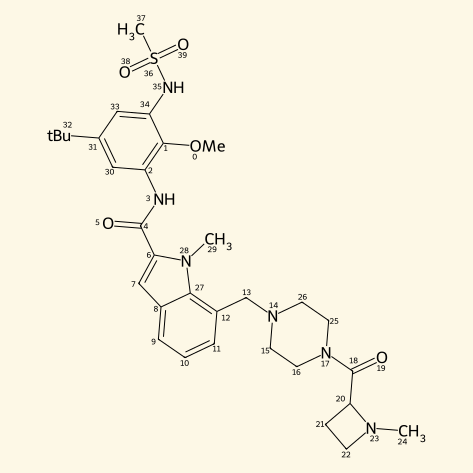 COc1c(NC(=O)c2cc3cccc(CN4CCN(C(=O)C5CCN5C)CC4)c3n2C)cc(C(C)(C)C)cc1NS(C)(=O)=O